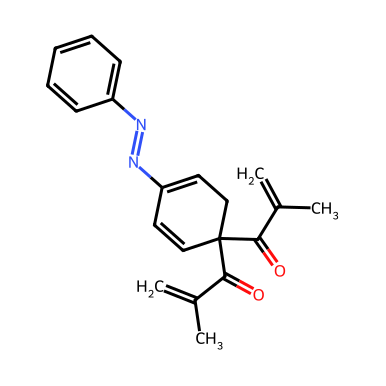 C=C(C)C(=O)C1(C(=O)C(=C)C)C=CC(N=Nc2ccccc2)=CC1